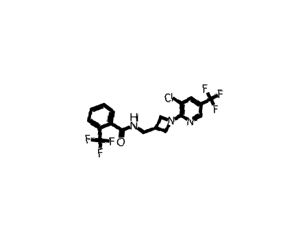 O=C(NCC1CN(c2ncc(C(F)(F)F)cc2Cl)C1)c1ccccc1C(F)(F)F